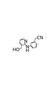 N#CCc1cccc(Nc2ncccc2CO)c1